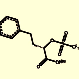 COC(=O)[C@H](CCc1ccccc1)OS(=O)(=O)C(F)(F)F